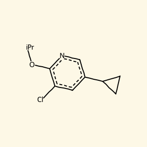 CC(C)Oc1ncc(C2CC2)cc1Cl